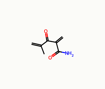 C=C(C)C(=O)C(=C)C(N)=O